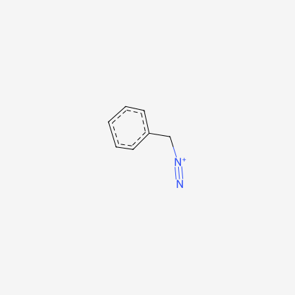 N#[N+]Cc1ccccc1